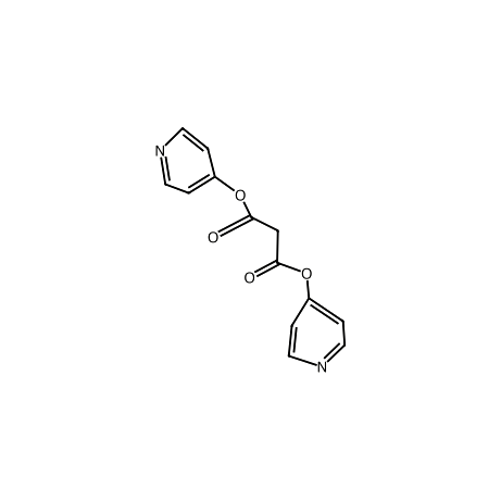 O=C(CC(=O)Oc1ccncc1)Oc1ccncc1